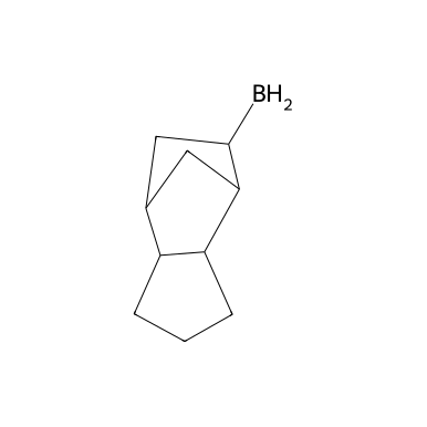 BC1CC2CC1C1CCCC21